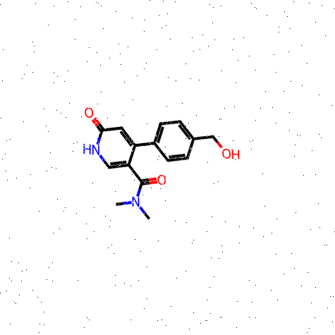 CN(C)C(=O)c1c[nH]c(=O)cc1-c1ccc(CO)cc1